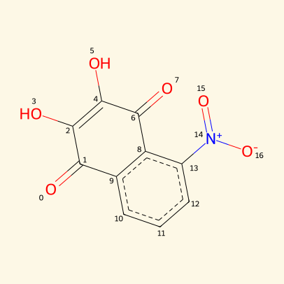 O=C1C(O)=C(O)C(=O)c2c1cccc2[N+](=O)[O-]